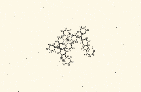 C1=CCc2c(sc3cc(N(c4ccccc4)c4ccc([Si](c5ccccc5)(c5ccccc5)c5cccc(N(c6ccccc6)c6ccc7c(c6)sc6ccccc67)c5)cc4)ccc23)C=C1